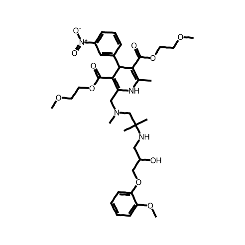 COCCOC(=O)C1=C(C)NC(CN(C)CC(C)(C)NCC(O)COc2ccccc2OC)=C(C(=O)OCCOC)C1c1cccc([N+](=O)[O-])c1